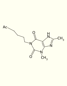 CC(=O)CCCCn1c(=O)c2[nH]c(C)nc2n(C)c1=O